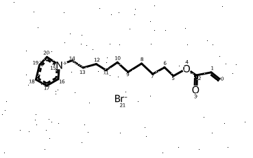 C=CC(=O)OCCCCCCCCCC[n+]1ccccc1.[Br-]